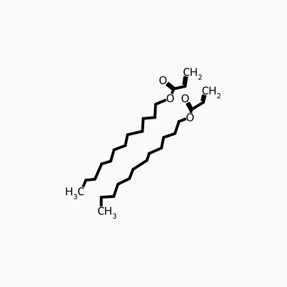 C=CC(=O)OCCCCCCCCCCCC.C=CC(=O)OCCCCCCCCCCCC